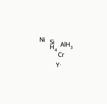 [AlH3].[Cr].[Ni].[SiH4].[Y]